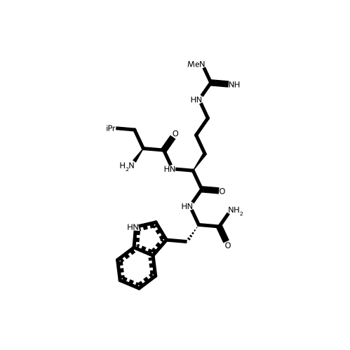 CNC(=N)NCCC[C@H](NC(=O)[C@@H](N)CC(C)C)C(=O)N[C@@H](Cc1c[nH]c2ccccc12)C(N)=O